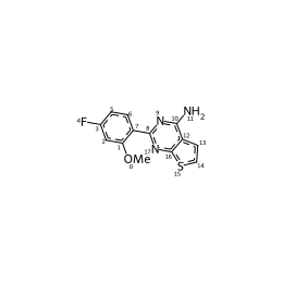 COc1cc(F)ccc1-c1nc(N)c2ccsc2n1